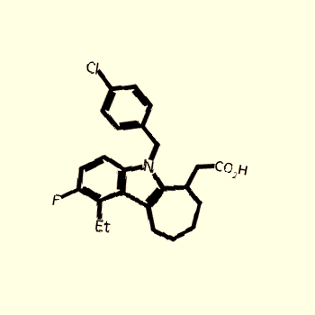 CCc1c(F)ccc2c1c1c(n2Cc2ccc(Cl)cc2)C(CC(=O)O)CCCC1